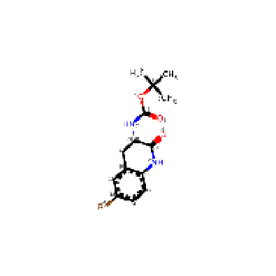 CC(C)(C)OC(=O)N[C@H]1Cc2cc(Br)ccc2NC1=O